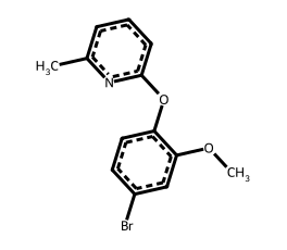 COc1cc(Br)ccc1Oc1cccc(C)n1